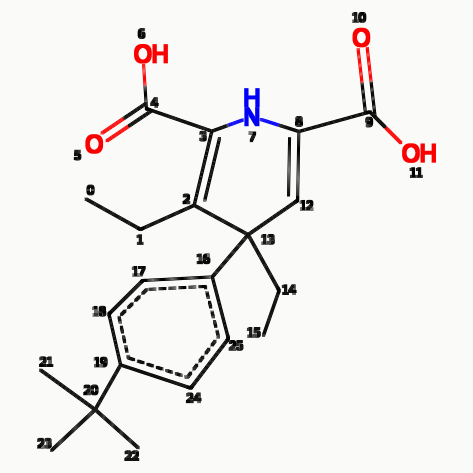 CCC1=C(C(=O)O)NC(C(=O)O)=CC1(CC)c1ccc(C(C)(C)C)cc1